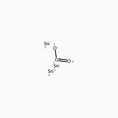 O=[O+][O-].[Sn].[Sn].[Sn]